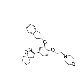 c1ccc2c(c1)CC(Oc1cc(C3=NOC4(CCCC4)C3)ccc1OCCN1CCOCC1)C2